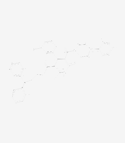 CC1=C(C(=O)OCCC(c2ccccc2)c2ccccc2)C(c2cccc(Cl)c2)C(C(=O)N2CCN(c3ccccn3)CC2)=C(C)N1